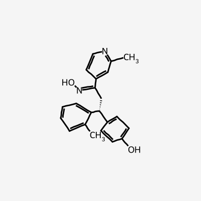 Cc1cc(/C(C[C@H](c2ccc(O)cc2)c2ccccc2C)=N\O)ccn1